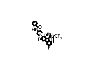 CCCCc1c2c(cc(F)c1N1CCC(NC(=O)c3ccccc3)CC1)-c1cc(F)ccc1C2C(=O)NCC(F)(F)F